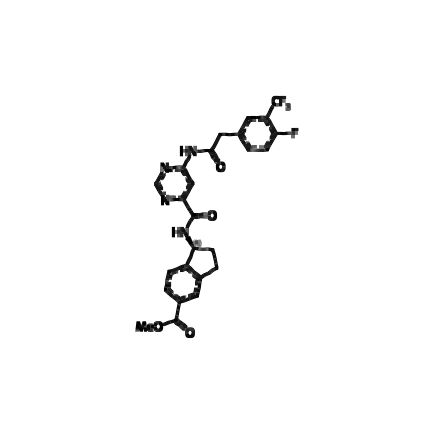 COC(=O)c1ccc2c(c1)CC[C@@H]2NC(=O)c1cc(NC(=O)Cc2ccc(F)c(C(F)(F)F)c2)ncn1